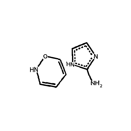 C1=CNOC=C1.Nc1ncc[nH]1